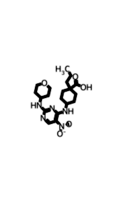 CCCC1(C(=O)O)CCC(Nc2nc(NC3CCOCC3)ncc2[N+](=O)[O-])CC1